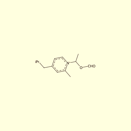 Cc1cc(CC(C)C)cc[n+]1C(C)OC=O